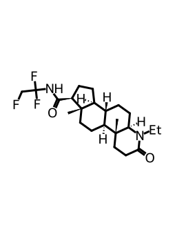 CCN1C(=O)CC[C@]2(C)[C@H]3CC[C@]4(C)[C@@H](C(=O)NC(F)(F)CF)CC[C@H]4[C@@H]3CC[C@@H]12